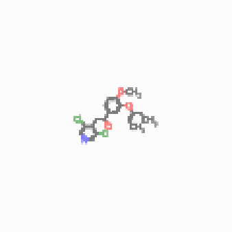 CC=C(CC)Oc1cc(C(=O)Cc2c(Cl)cncc2Cl)ccc1OC